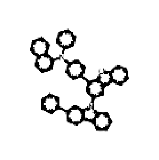 c1ccc(-c2ccc3c4ccccc4n(-c4cc(-c5ccc(N(c6ccccc6)c6cccc7ccccc67)cc5)c5oc6ccccc6c5c4)c3c2)cc1